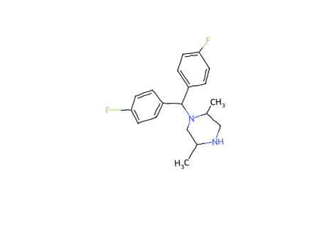 CC1CN(C(c2ccc(F)cc2)c2ccc(F)cc2)C(C)CN1